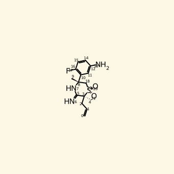 C=CC[C@@]1(C)C(=N)N[C@](C)(c2cc(N)ccc2F)CS1(=O)=O